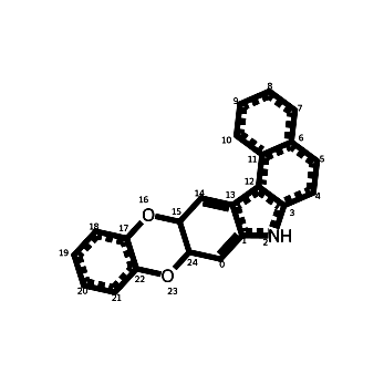 C1=c2[nH]c3ccc4ccccc4c3c2=CC2Oc3ccccc3OC12